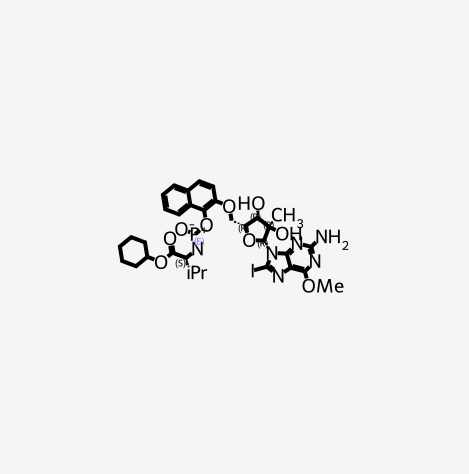 COc1nc(N)nc2c1nc(I)n2[C@@H]1O[C@H](COc2ccc3ccccc3c2O/[P+]([O-])=N/[C@H](C(=O)OC2CCCCC2)C(C)C)[C@@H](O)[C@@]1(C)O